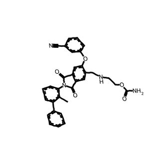 Cc1c(-c2ccccc2)cccc1N1C(=O)c2cc(CNCCOC(N)=O)c(Oc3cccc(C#N)c3)cc2C1=O